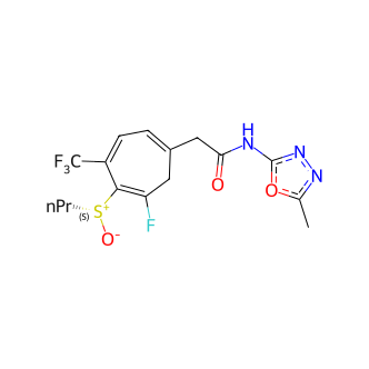 CCC[S@@+]([O-])C1=C(F)CC(CC(=O)Nc2nnc(C)o2)=CC=C1C(F)(F)F